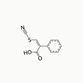 N#CS/C=C(\C(=O)O)c1ccccc1